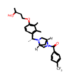 Cc1c(OCCC(C)O)ccc([C@@H](C)N2C[C@H]3C[C@@H]2CN3C(=O)c2ccc(C(F)(F)F)cc2)c1C